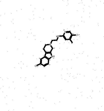 Cc1cc(NCCN2CCc3c([nH]c4ccc(Cl)cc34)C2)ncc1Cl